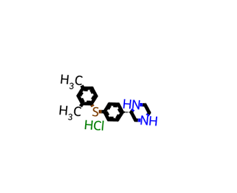 Cc1ccc(Sc2ccc([C@H]3CNCCN3)cc2)c(C)c1.Cl